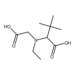 CCN(CC(=O)O)C(C(=O)O)C(C)(C)C